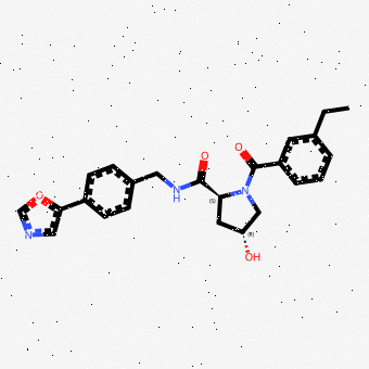 CCc1cccc(C(=O)N2C[C@H](O)C[C@H]2C(=O)NCc2ccc(-c3cnco3)cc2)c1